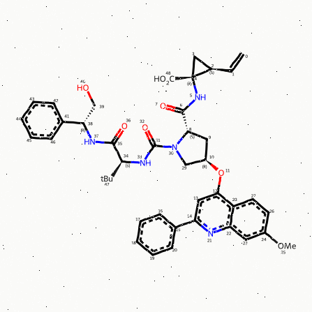 C=C[C@@H]1C[C@]1(NC(=O)[C@@H]1C[C@@H](Oc2cc(-c3ccccc3)nc3cc(OC)ccc23)CN1C(=O)N[C@H](C(=O)N[C@@H](CO)c1ccccc1)C(C)(C)C)C(=O)O